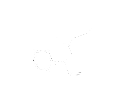 O=NN1CC(CCO)Oc2ccccc21